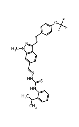 CC(C)c1ccccc1NC(=S)N/N=C/c1ccc2c(/C=C/c3ccc(OC(F)(F)F)cc3)nn(C)c2c1